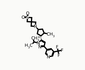 CC1CC(N2CC3(C2)CS(=O)(=O)C3)C[C@H]1c1cc(-c2cncc(C(F)(F)F)c2)nn1C(C)C